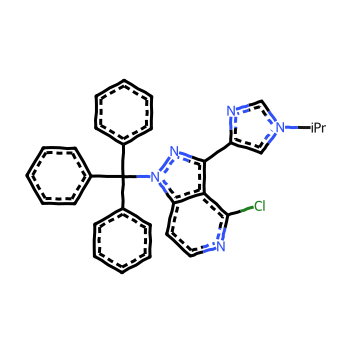 CC(C)n1cnc(-c2nn(C(c3ccccc3)(c3ccccc3)c3ccccc3)c3ccnc(Cl)c23)c1